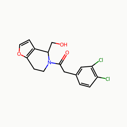 O=C(Cc1ccc(Cl)c(Cl)c1)N1CCc2occc2C1CO